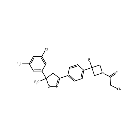 N#CCC(=O)N1CC(F)(c2ccc(C3=NOC(c4cc(Cl)cc(C(F)(F)F)c4)(C(F)(F)F)C3)cc2)C1